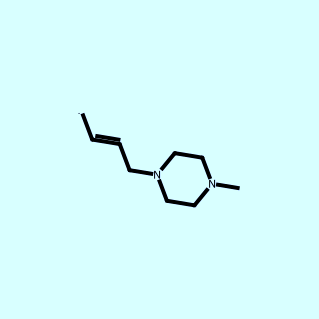 [CH2]C=CCN1CCN(C)CC1